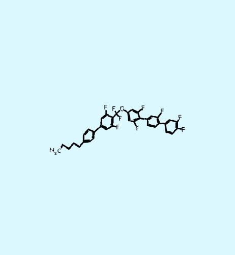 CCCCCc1ccc(-c2cc(F)c(C(F)(F)Oc3cc(F)c(-c4ccc(-c5ccc(F)c(F)c5)c(F)c4)c(F)c3)c(F)c2)cc1